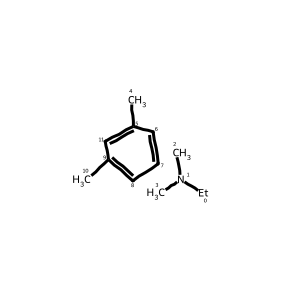 CCN(C)C.Cc1cccc(C)c1